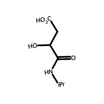 CC(C)NC(=O)C(O)CC(=O)O